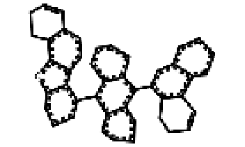 C1=Cc2c(c(-c3c4ccccc4c(-c4cccc5oc6c7c(ccc6c45)C=CCC7)c4ccccc34)cc3ccccc23)CC1